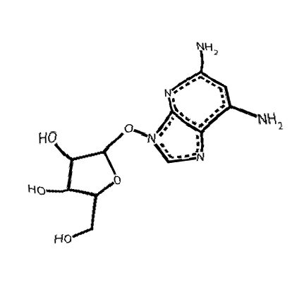 Nc1cc(N)c2ncn(OC3OC(CO)C(O)C3O)c2n1